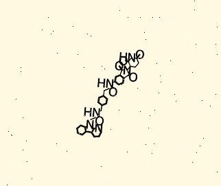 O=C(Cn1c2ccccc2c2cccnc21)NCc1ccc(CC(=O)Nc2ccc3c(c2)C(=O)N(C2CCC(=O)NC2=O)C3=O)cc1